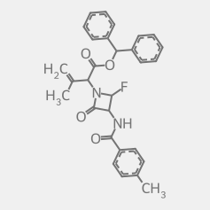 C=C(C)C(C(=O)OC(c1ccccc1)c1ccccc1)N1C(=O)C(NC(=O)c2ccc(C)cc2)C1F